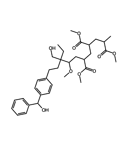 CCC(CO)(CCc1ccc(C(O)c2ccccc2)cc1)C(CC(CC(CC(C)C(=O)OC)C(=O)OC)C(=O)OC)OC